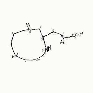 O=C(O)NCC1CNCCNCCN1